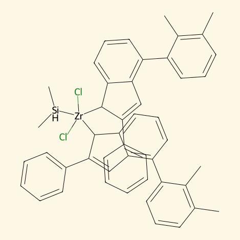 Cc1cccc(-c2cccc3c2C=C(c2ccccc2)[CH]3[Zr]([Cl])([Cl])([CH]2C(c3ccccc3)=Cc3c(-c4cccc(C)c4C)cccc32)[SiH](C)C)c1C